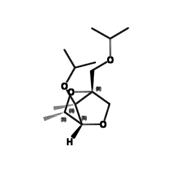 CC(C)OC[C@]12CO[C@H]([C@H](C)O1)[C@@]2(C)OC(C)C